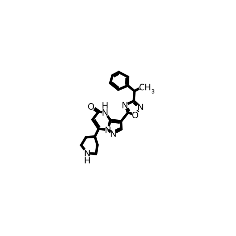 CC(c1ccccc1)c1noc(-c2cnn3c(C4CCNCC4)cc(=O)[nH]c23)n1